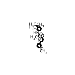 COc1cccc(-c2ccc(=O)n(C(C)C(=O)Nc3cccc(C(C)(C)C)c3)n2)c1